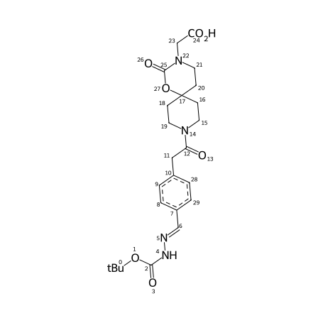 CC(C)(C)OC(=O)NN=Cc1ccc(CC(=O)N2CCC3(CC2)CCN(CC(=O)O)C(=O)O3)cc1